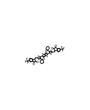 O=C1C(=O)c2cc(C(F)(F)F)ccc2/C1=C/c1cc2c(s1)-c1sc3c4c(sc3c1OC21CCCCC1)-c1sc(/C=C2\C(=O)C(=O)c3cc(C(F)(F)F)ccc32)cc1C1(CCCCC1)O4